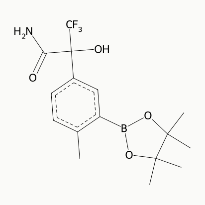 Cc1ccc(C(O)(C(N)=O)C(F)(F)F)cc1B1OC(C)(C)C(C)(C)O1